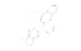 Cc1c([C@H](CC(=O)O)c2cc(CO)c3sccc3c2)ccc2c1nnn2C